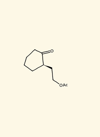 CC(=O)OCC[C@H]1CCCCC1=O